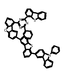 c1ccc(-c2nc(-c3cccc4c3sc3ccccc34)nc(-c3cccc4oc5ccc(-c6ccc7sc8c(-c9ccc%10c(c9)c9ccccc9n%10-c9ccccc9)cccc8c7c6)cc5c34)n2)cc1